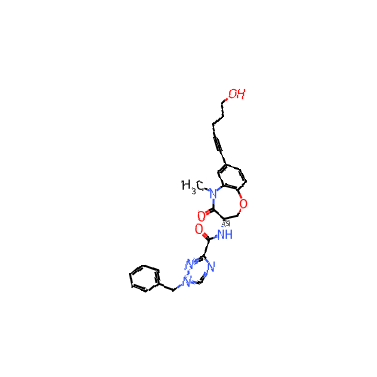 CN1C(=O)[C@@H](NC(=O)c2ncn(Cc3ccccc3)n2)COc2ccc(C#CCCCO)cc21